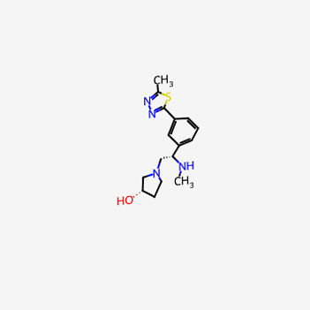 CN[C@H](CN1CC[C@H](O)C1)c1cccc(-c2nnc(C)s2)c1